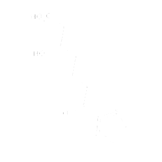 O=C(O)CC(O)CCCC(=O)c1cccs1